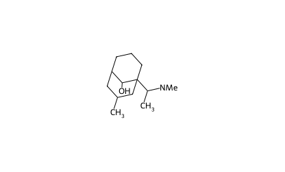 CNC(C)C12CCCC(CC(C)C1)C2O